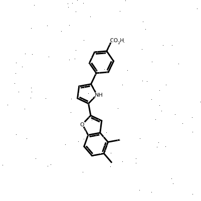 Cc1ccc2oc(-c3ccc(-c4ccc(C(=O)O)cc4)[nH]3)cc2c1C